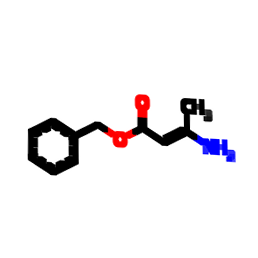 C/C(N)=C\C(=O)OCc1ccccc1